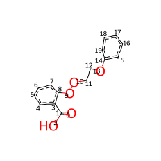 O=C(O)c1ccccc1OOCCOc1ccccc1